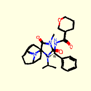 CC(C)N1C(=O)N(C)C(=O)C12CC1CCC(C2)N1CC[C@H](NC(=O)C1CCCOC1)c1ccccc1